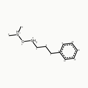 C[SiH](C)O[SiH2]CCCc1ccccc1